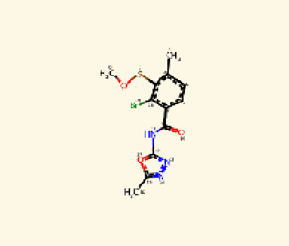 COSc1c(C)ccc(C(=O)Nc2nnc(C)o2)c1Br